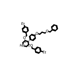 CCc1ccc(CO[C@H]2CNC[C@@H](OCc3ccc(CC)cc3)[C@H]2c2ccc(OCCCOCc3ccccc3)cc2)cc1